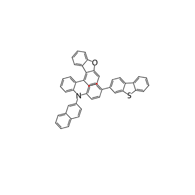 c1ccc(N(c2ccc(-c3ccc4c(c3)sc3ccccc34)cc2)c2ccc3ccccc3c2)c(-c2cccc3oc4ccccc4c23)c1